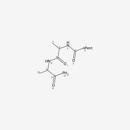 CCCCCC(=O)NC(C)C(=O)NC(C)C(=O)P